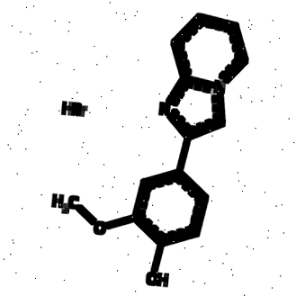 Br.COc1cc(-c2cn3ccccc3n2)ccc1O